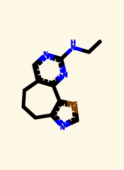 CCNc1ncc2c(n1)-c1scnc1CCC2